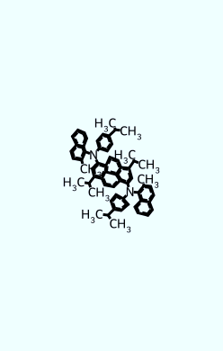 Cc1ccc2ccccc2c1N(c1ccc(C(C)C)cc1)c1cc(C(C)C)c2ccc3c(N(c4ccc(C(C)C)cc4)c4c(C)ccc5ccccc45)cc(C(C)C)c4ccc1c2c43